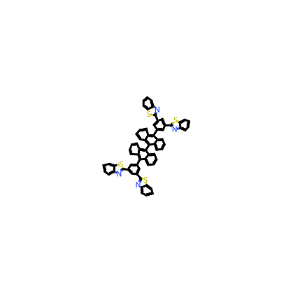 c1ccc2sc(-c3cc(-c4nc5ccccc5s4)cc(-c4c5ccccc5c(-c5c6ccccc6c(-c6cc(-c7nc8ccccc8s7)cc(-c7nc8ccccc8s7)c6)c6ccccc56)c5ccccc45)c3)nc2c1